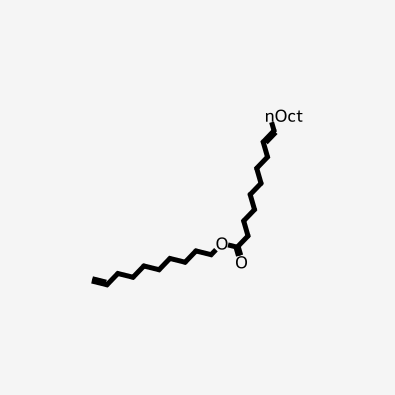 C=CCCCCCCCCOC(=O)CCCCCCCC=CCCCCCCCC